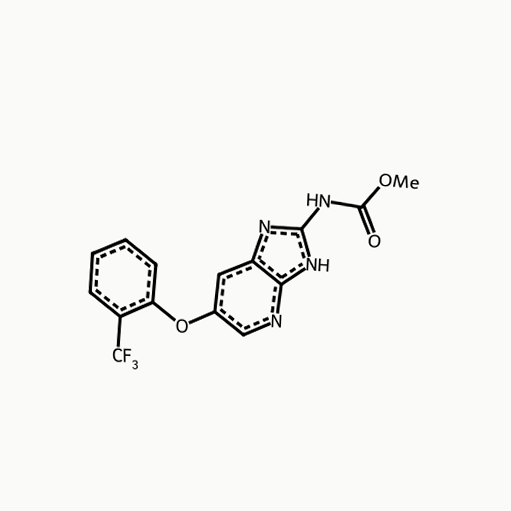 COC(=O)Nc1nc2cc(Oc3ccccc3C(F)(F)F)cnc2[nH]1